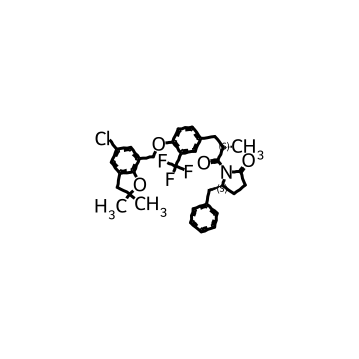 C[C@@H](Cc1ccc(OCc2cc(Cl)cc3c2OC(C)(C)C3)c(C(F)(F)F)c1)C(=O)N1C(=O)CC[C@H]1Cc1ccccc1